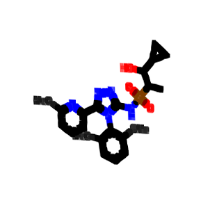 COc1cccc(-c2nnc(NS(=O)(=O)C(C)C(O)C3CC3)n2-c2c(OC)cccc2OC)n1